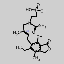 CCc1c(C)c2c(c(O)c1C/C=C(\C)CN(CCP(=O)(O)O)C(N)=O)C(=O)OC2